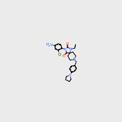 CCN1C(=O)N(c2ccc(N)cc2Cl)C(=O)C12CCN(Cc1ccc(N3CCCC3)cc1)CC2